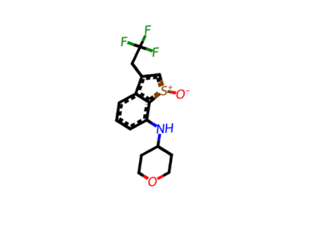 [O-][s+]1cc(CC(F)(F)F)c2cccc(NC3CCOCC3)c21